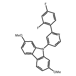 COc1ccc2c3ccc(OC)cc3n(-c3ccnc(-c4ccc(F)cc4F)c3)c2c1